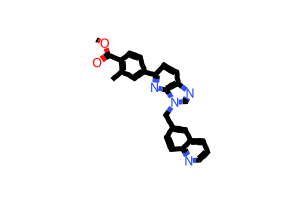 COC(=O)c1ccc(-c2ccc3ncn(Cc4ccc5ncccc5c4)c3n2)cc1C